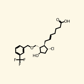 O=C(O)CCCC=CC[C@@H]1[C@@H](COCc2cccc(C(F)(F)F)c2)[C@H](O)C[C@H]1Cl